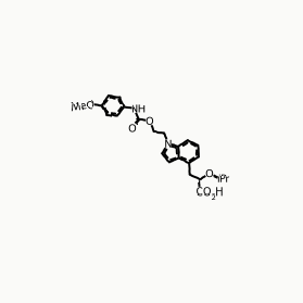 COc1ccc(NC(=O)OCCn2ccc3c(CC(OC(C)C)C(=O)O)cccc32)cc1